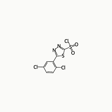 O=S(=O)(Cl)c1nnc(-c2cc(Cl)ccc2Cl)s1